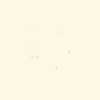 CNC(C)C(C)C(C)=C(C)C